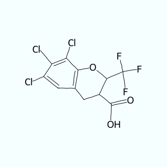 O=C(O)C1Cc2cc(Cl)c(Cl)c(Cl)c2OC1C(F)(F)F